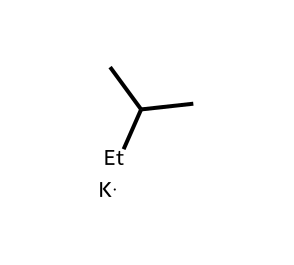 CCC(C)C.[K]